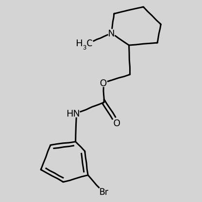 CN1CCCCC1COC(=O)Nc1cccc(Br)c1